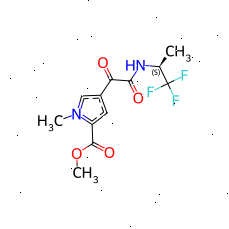 COC(=O)c1cc(C(=O)C(=O)N[C@@H](C)C(F)(F)F)cn1C